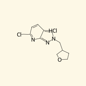 Cl.Clc1ccc2cn(CC3CCOC3)nc2n1